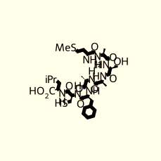 CSCC[C@H](N)C(=O)N[C@@H](C)C(=O)N[C@@H](CO)C(=O)N[C@@H](C)C(=O)N[C@@H](C)C(=O)N[C@@H](CC1CCCCC1)C(=O)N[C@@H](CS)C(=O)N[C@@H](CC(C)C)C(=O)O